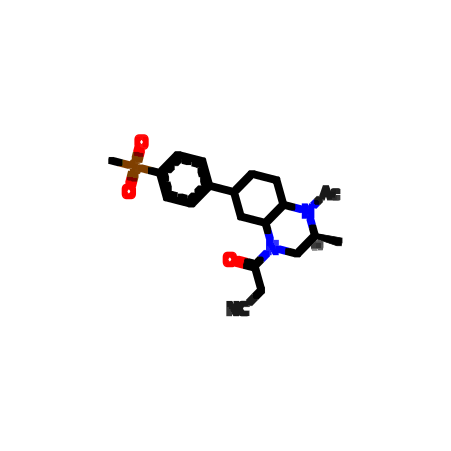 CC(=O)N1C2CCC(c3ccc(S(C)(=O)=O)cc3)CC2N(C(=O)CC#N)C[C@@H]1C